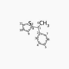 C[C](c1ccccc1)c1cccs1